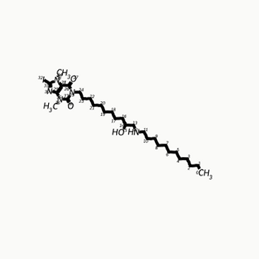 CCCCCCCCCCCCNCC(O)CCCCCCCCCn1c(=O)c2c(nc(I)n2C)n(C)c1=O